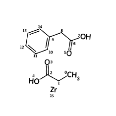 CCC(=O)O.O=C(O)Cc1ccccc1.[Zr]